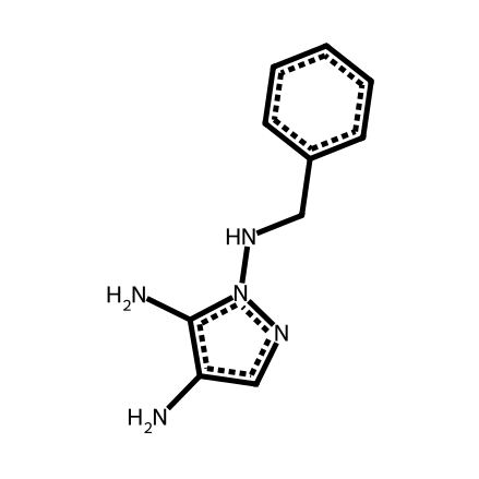 Nc1cnn(NCc2ccccc2)c1N